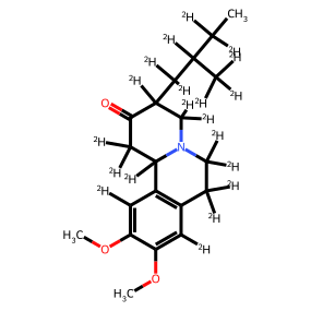 [2H]c1c(OC)c(OC)c([2H])c2c1C([2H])([2H])C([2H])([2H])N1C([2H])([2H])C([2H])(C([2H])([2H])C([2H])(C([2H])([2H])[2H])C([2H])([2H])C)C(=O)C([2H])([2H])C21[2H]